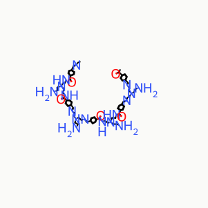 CC/N=C/c1ccc(C(=O)NCCN(CCN)CCNC(=O)c2ccc(/C=N/CCN(CCN)CC/N=C/c3ccc(C(=O)NCCN(CCN)CCNC(=O)c4ccc(/C=N/CCN(CCN)CC/N=C/c5ccc(C(C)=O)cc5)cc4)cc3)cc2)cc1